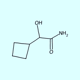 NC(=O)C(O)C1CCC1